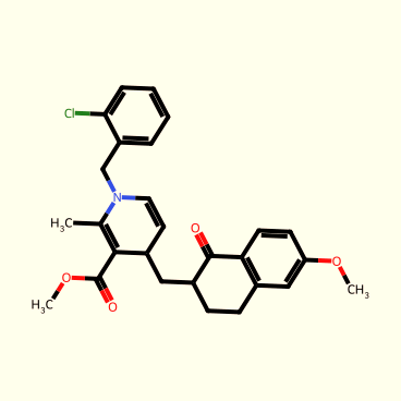 COC(=O)C1=C(C)N(Cc2ccccc2Cl)C=CC1CC1CCc2cc(OC)ccc2C1=O